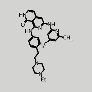 CCN1CCN(CCc2ccc(Nc3nc(Nc4cc(C)cc(C)n4)cc4cc[nH]c(=O)c34)cc2)CC1